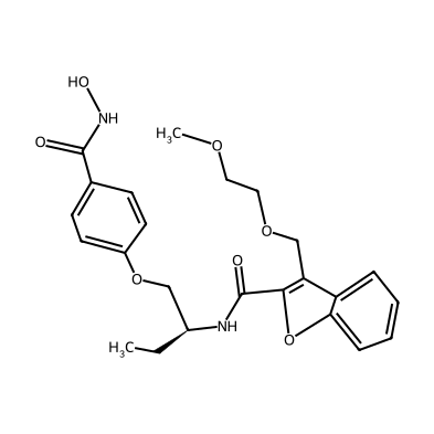 CC[C@@H](COc1ccc(C(=O)NO)cc1)NC(=O)c1oc2ccccc2c1COCCOC